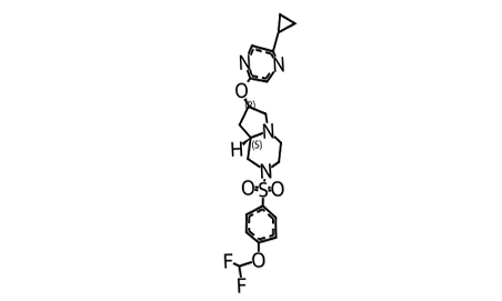 O=S(=O)(c1ccc(OC(F)F)cc1)N1CCN2C[C@H](Oc3cnc(C4CC4)cn3)C[C@H]2C1